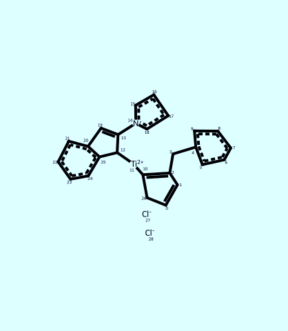 C1=CC(Cc2ccccc2)=[C]([Ti+2][CH]2C(n3cccc3)=Cc3ccccc32)C1.[Cl-].[Cl-]